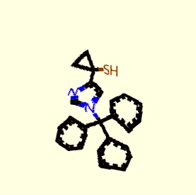 SC1(c2cn(C(c3ccccc3)(c3ccccc3)c3ccccc3)cn2)CC1